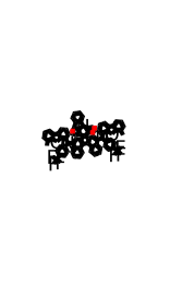 Cc1cccc2c1oc1c(N(c3ccc(C(F)(F)F)cc3)c3cc4c(c5ccccc35)-c3c(cc(N(c5ccc(C(F)(F)F)cc5)c5cccc6c5oc5c(C)cccc56)c5ccccc35)C43c4ccccc4-n4c5ccccc5c5cccc3c54)cccc12